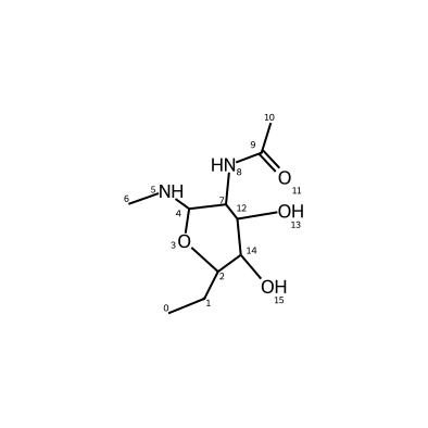 CCC1OC(NC)C(NC(C)=O)C(O)C1O